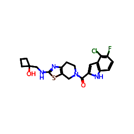 O=C(c1cc2c(Cl)c(F)ccc2[nH]1)N1CCc2nc(NCC3(O)CCC3)sc2C1